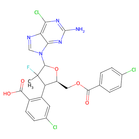 CC1(F)C(c2cc(Cl)ccc2C(=O)O)[C@H](COC(=O)c2ccc(Cl)cc2)OC1n1cnc2c(Cl)nc(N)nc21